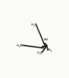 CCCCCCCCCCCCCCCCCCCCCCCC=Cc1ccc(N=C(CCCC)C(CCCCCCCC)=Nc2ccc(C=CCCCCCCCCCCCCCCCCCCCCCCC)cc2)cc1.[Pd]